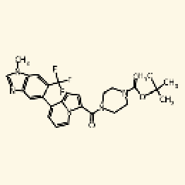 Cn1cnc2cc(-c3cccn4c(C(=O)N5CCN(C(=O)OC(C)(C)C)CC5)ccc34)c(C(F)(F)F)cc21